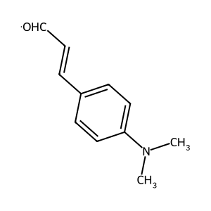 CN(C)c1ccc(C=C[C]=O)cc1